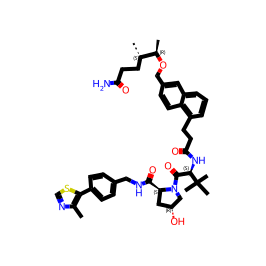 Cc1ncsc1-c1ccc(CNC(=O)[C@@H]2C[C@@H](O)CN2C(=O)[C@@H](NC(=O)CCc2cccc3cc(CO[C@H](C)[C@@H](C)CCC(N)=O)ccc23)C(C)(C)C)cc1